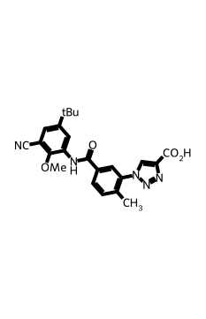 COc1c(C#N)cc(C(C)(C)C)cc1NC(=O)c1ccc(C)c(-n2cc(C(=O)O)nn2)c1